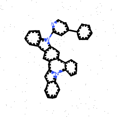 c1ccc(-c2ccnc(-n3c4ccccc4c4cc5c(cc43)c3ccccc3n3c4ccccc4cc53)c2)cc1